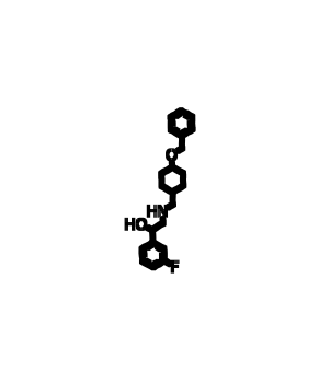 OC(CNCC1CCC(OCc2ccccc2)CC1)c1cccc(F)c1